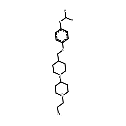 CCC[SiH]1CCC([SiH]2CCC(COc3ccc(OC(F)F)cc3)CC2)CC1